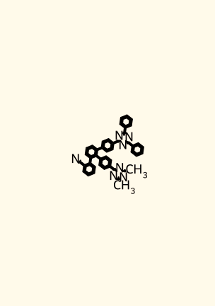 Cc1nc(C)nc(-c2ccc(-c3c(-c4ccc(-c5nc(-c6ccccc6)nc(-c6ccccc6)n5)cc4)cccc3-c3ccccc3C#N)cc2)n1